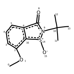 COc1cccc2c(=O)n(C(C)(C)C)[s+]([O-])c12